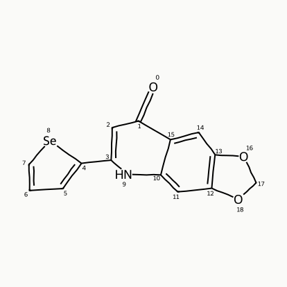 O=c1cc(-c2ccc[se]2)[nH]c2cc3c(cc12)OCO3